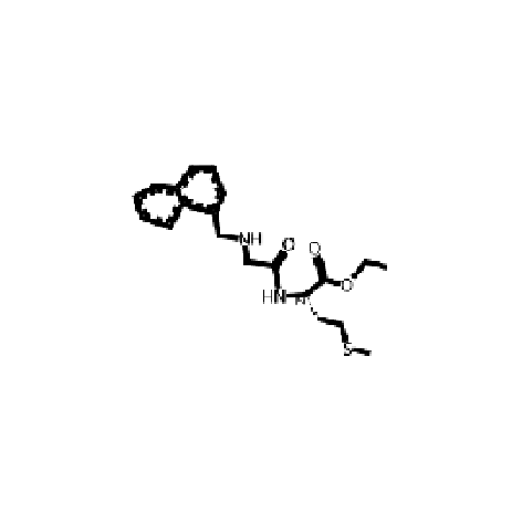 CCOC(=O)[C@H](CCSC)NC(=O)CNCc1cccc2ccccc12